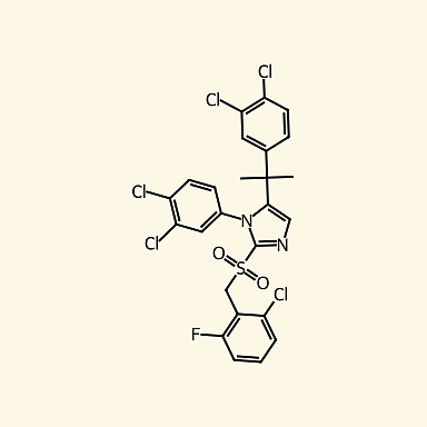 CC(C)(c1ccc(Cl)c(Cl)c1)c1cnc(S(=O)(=O)Cc2c(F)cccc2Cl)n1-c1ccc(Cl)c(Cl)c1